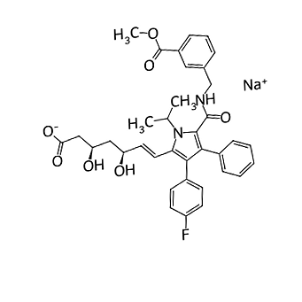 COC(=O)c1cccc(CNC(=O)c2c(-c3ccccc3)c(-c3ccc(F)cc3)c(C=C[C@@H](O)C[C@@H](O)CC(=O)[O-])n2C(C)C)c1.[Na+]